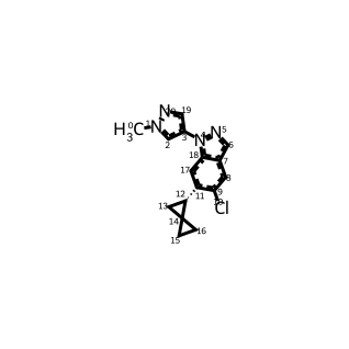 Cn1cc(-n2ncc3cc(Cl)c([C@H]4CC45CC5)cc32)cn1